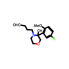 COc1ccc(F)cc1C1(C)COCCN1CCCC=O